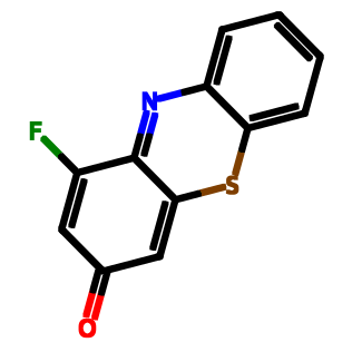 O=c1cc2sc3ccccc3nc-2c(F)c1